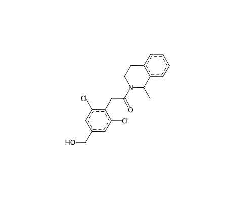 CC1c2ccccc2CCN1C(=O)Cc1c(Cl)cc(CO)cc1Cl